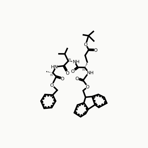 CC(C)[C@H](NC(=O)[C@H](CCC(=O)OC(C)(C)C)NC(=O)OCC1c2ccccc2-c2ccccc21)C(=O)N[C@@H](C)C(=O)OCc1ccccc1